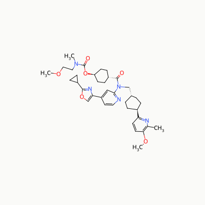 COCCN(C)C(=O)O[C@H]1CC[C@H](C(=O)N(C[C@H]2CC[C@H](c3ccc(OC)c(C)n3)CC2)c2cc(-c3coc(C4CC4)n3)ccn2)CC1